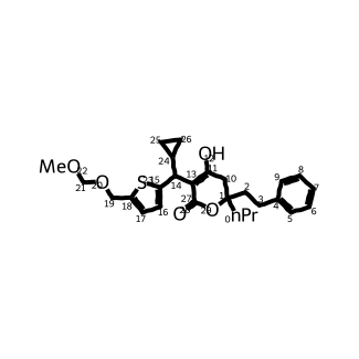 CCCC1(CCc2ccccc2)CC(O)=C(C(c2ccc(COCOC)s2)C2CC2)C(=O)O1